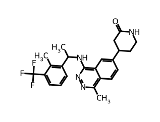 Cc1c(C(C)Nc2nnc(C)c3ccc(C4CCNC(=O)C4)cc23)cccc1C(F)(F)F